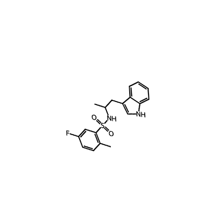 Cc1ccc(F)cc1S(=O)(=O)NC(C)Cc1c[nH]c2ccccc12